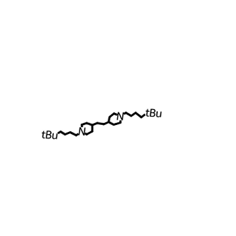 CC(C)(C)CCCCN1CCC(CCC2CCN(CCCCC(C)(C)C)CC2)CC1